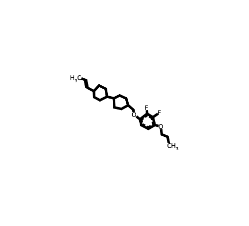 C/C=C/C1CCC(C2CCC(COc3ccc(OCCC)c(F)c3F)CC2)CC1